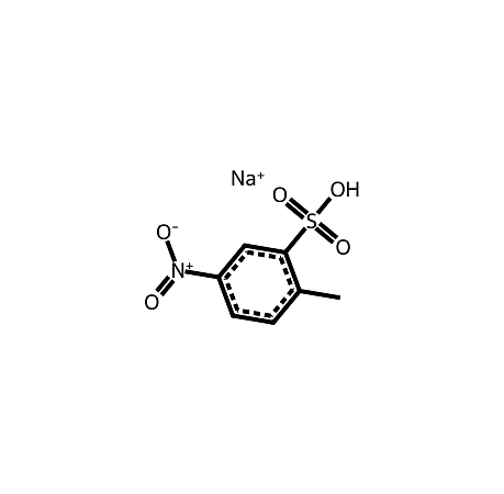 Cc1ccc([N+](=O)[O-])cc1S(=O)(=O)O.[Na+]